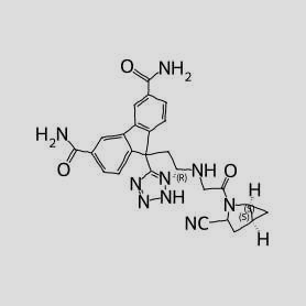 C[C@H](CC1(c2nn[nH]n2)c2ccc(C(N)=O)cc2-c2cc(C(N)=O)ccc21)NCC(=O)N1C(C#N)C[C@@H]2C[C@@H]21